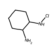 NC1CCCCC1NCl